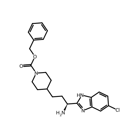 N[C@@H](CCC1CCN(C(=O)OCc2ccccc2)CC1)c1nc2cc(Cl)ccc2[nH]1